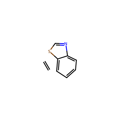 C=C.c1ccc2scnc2c1